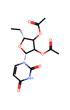 CC[C@H]1O[C@@H](n2ccc(=O)[nH]c2=O)C(OC(C)=O)C1OC(C)=O